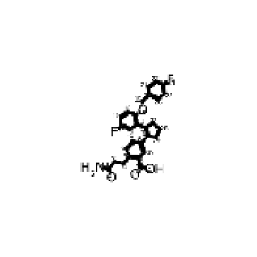 NC(=O)CCc1ccc(C2=C(c3cc(F)ccc3OCc3ccc(F)cc3)CCC2)cc1C(=O)O